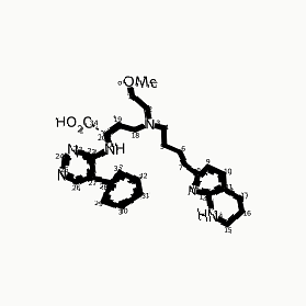 COCCN(CCCCc1ccc2c(n1)NCCC2)CC[C@H](Nc1ncncc1-c1ccccc1)C(=O)O